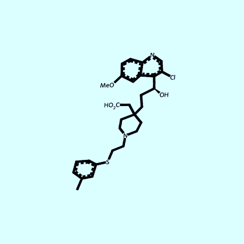 COc1ccc2ncc(Cl)c([C@@H](O)CCC3(CC(=O)O)CCN(CCSc4cccc(C)c4)CC3)c2c1